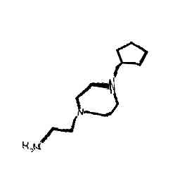 NCCN1CCN(C2CCCC2)CC1